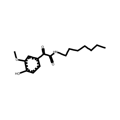 CCCCCCCNC(=O)C(=O)c1ccc(O)c(OC)c1